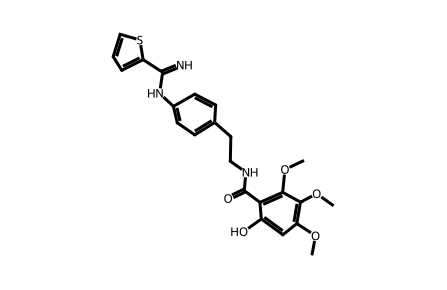 COc1cc(O)c(C(=O)NCCc2ccc(NC(=N)c3cccs3)cc2)c(OC)c1OC